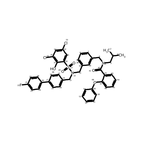 CC(C)CN(Cc1cccc(CN(Cc2ccc(-c3ccc(F)cc3)cc2)S(=O)(=O)c2cc(Cl)cc(Cl)c2O)c1)C(=O)c1ccccc1Oc1ccccc1